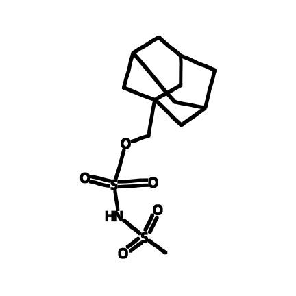 CS(=O)(=O)NS(=O)(=O)OCC12CC3CC(CC(C3)C1)C2